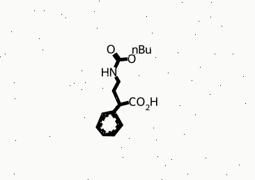 CCCCOC(=O)NCCC(C(=O)O)c1ccccc1